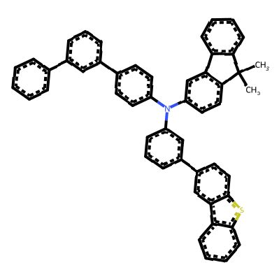 CC1(C)c2ccccc2-c2cc(N(c3ccc(-c4cccc(-c5ccccc5)c4)cc3)c3cccc(-c4ccc5sc6ccccc6c5c4)c3)ccc21